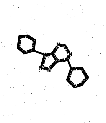 c1ccc(-c2ncnc3c2nnn3-c2ccccc2)cc1